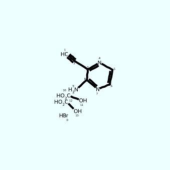 Br.C#Cc1nccnc1N.O=C(O)O.O=C(O)O